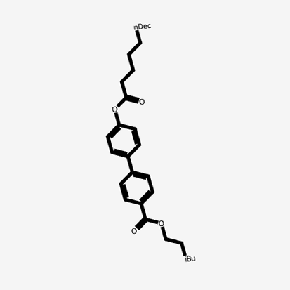 CCCCCCCCCCCCCCC(=O)Oc1ccc(-c2ccc(C(=O)OCCC(C)CC)cc2)cc1